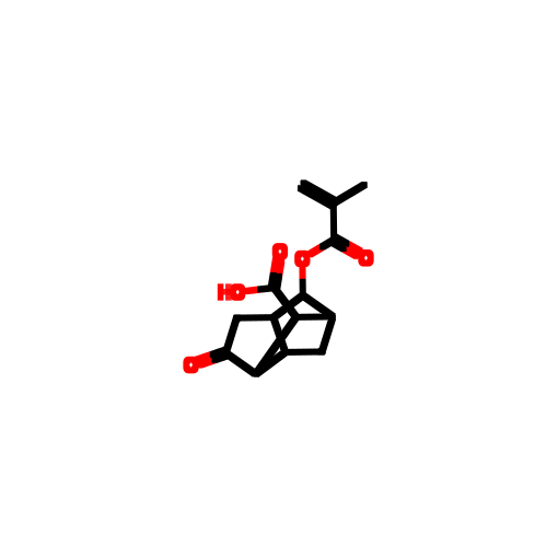 C=C(C)C(=O)OC1C2CC(=O)C3C2CC1C3C(=O)O